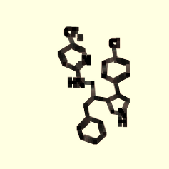 FC(F)(F)c1ccc(NCC(Cc2ccccc2)C2CNCC2c2ccc(Cl)cc2)nc1